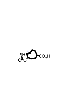 O=C(S)OC1/C=C/CCC(C(=O)O)CC1